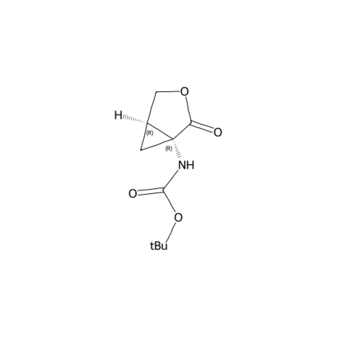 CC(C)(C)OC(=O)N[C@]12C[C@H]1COC2=O